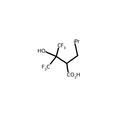 CC(C)CC(C(=O)O)C(O)(C(F)(F)F)C(F)(F)F